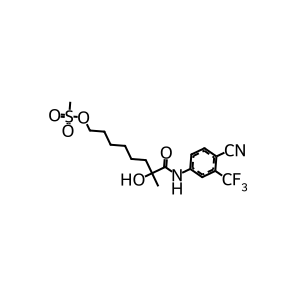 CC(O)(CCCCCCOS(C)(=O)=O)C(=O)Nc1ccc(C#N)c(C(F)(F)F)c1